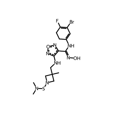 CN(C)SN1CC(C)(CNc2nonc2/C(=N/O)NC2=CC(Br)=C(F)CC2)C1